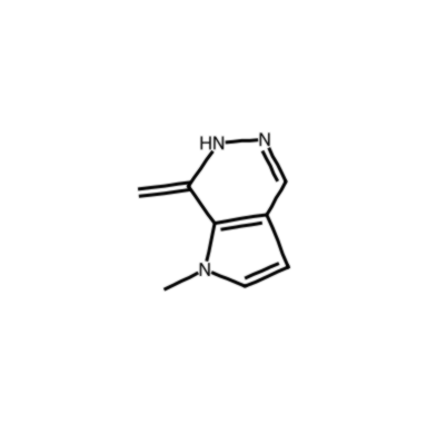 C=C1NN=Cc2ccn(C)c21